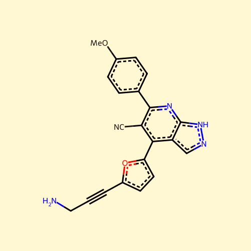 COc1ccc(-c2nc3[nH]ncc3c(-c3ccc(C#CCN)o3)c2C#N)cc1